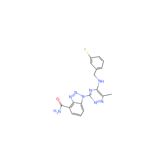 Cc1nnc(-n2nnc3c(C(N)=O)cccc32)nc1NCc1cccc(F)c1